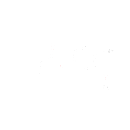 C=C(C)C(=O)Oc1ccc(CCC)c(OCC)c1